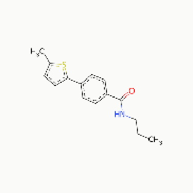 CCCNC(=O)c1ccc(-c2ccc(C)s2)cc1